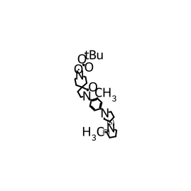 Cc1cc(N2CC[C@H](N3CCC[C@H]3C)C2)ccc1N1CCC2(CCN(OC(=O)OC(C)(C)C)CC2)C1=O